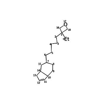 CCC1(CCCCCC2CCC3C=CCC3C2)COC1